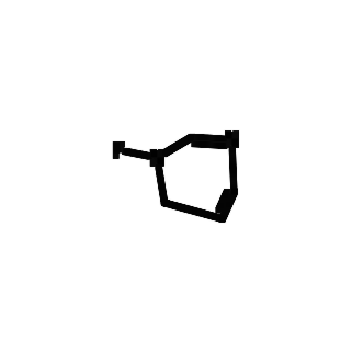 FN1C=NC=CC1